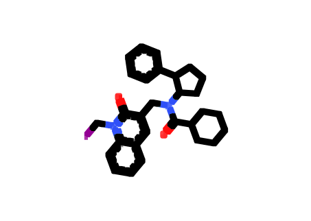 O=C(C1CCCCC1)N(Cc1cc2ccccc2n(CI)c1=O)C1CCCC1c1ccccc1